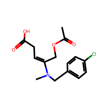 CC(=O)OCC(=CCC(=O)O)N(C)Cc1ccc(Cl)cc1